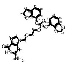 Nc1nc2c(ncn2COCCOP(=O)(Oc2cccc3c2OCC3)Oc2cccc3c2OCO3)c(=O)[nH]1